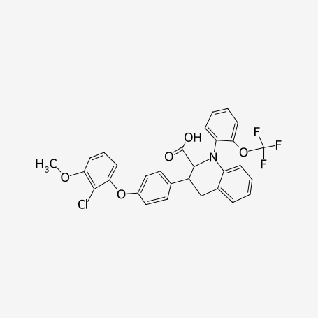 COc1cccc(Oc2ccc(C3Cc4ccccc4N(c4ccccc4OC(F)(F)F)C3C(=O)O)cc2)c1Cl